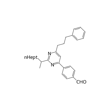 CCCCCCCC(C)c1nc(CCCc2ccccc2)cc(-c2ccc(C=O)cc2)n1